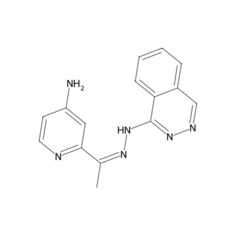 CC(=NNc1nncc2ccccc12)c1cc(N)ccn1